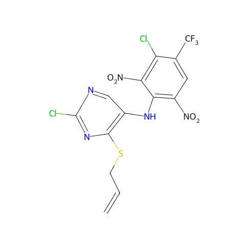 C=CCSc1nc(Cl)ncc1Nc1c([N+](=O)[O-])cc(C(F)(F)F)c(Cl)c1[N+](=O)[O-]